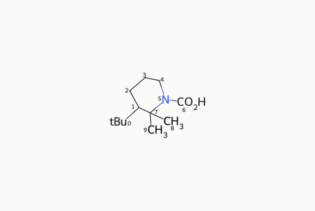 CC(C)(C)C1CCCN(C(=O)O)C1(C)C